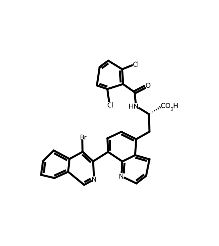 O=C(N[C@@H](Cc1ccc(-c2ncc3ccccc3c2Br)c2ncccc12)C(=O)O)c1c(Cl)cccc1Cl